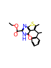 CCOC(=O)c1nc2sc(C)c(C(C)c3ccccc3)c2c(=O)[nH]1